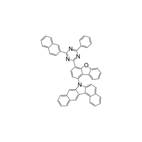 c1ccc(-c2nc(-c3ccc4ccccc4c3)nc(-c3ccc(-n4c5cc6ccccc6cc5c5c6ccccc6ccc54)c4c3oc3ccccc34)n2)cc1